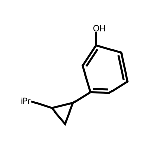 CC(C)C1CC1c1cccc(O)c1